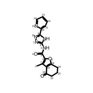 Cc1c(C(=O)Nc2nnc(-c3ccccn3)[nH]2)oc2c1C(=O)CCC2